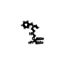 C=CN(CCNCO[Si](CCC)(OC)OC)Cc1ccccc1